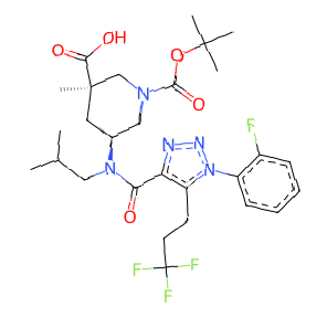 CC(C)CN(C(=O)c1nnn(-c2ccccc2F)c1CCC(F)(F)F)[C@@H]1CN(C(=O)OC(C)(C)C)C[C@](C)(C(=O)O)C1